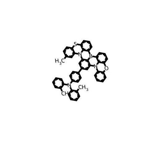 Cc1ccc2c(c1)N1c3cc(-c4ccc(N(c5ccccc5C)c5ccccc5C)cc4)cc4c3B(c3cccc5c3N4c3ccccc3O5)c3cccc(c31)S2